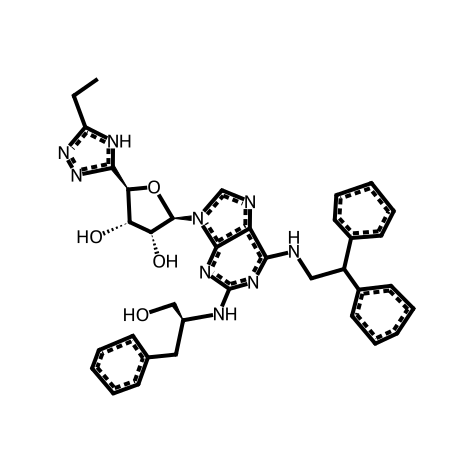 CCc1nnc([C@H]2O[C@@H](n3cnc4c(NCC(c5ccccc5)c5ccccc5)nc(N[C@H](CO)Cc5ccccc5)nc43)[C@H](O)[C@@H]2O)[nH]1